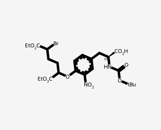 CCOC(=O)C(Br)CCC(Oc1ccc(C[C@H](NC(=O)OC(C)(C)C)C(=O)O)cc1[N+](=O)[O-])C(=O)OCC